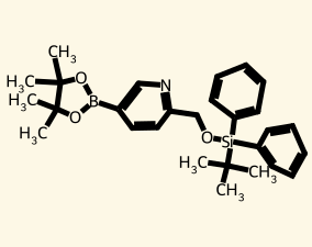 CC1(C)OB(c2ccc(CO[Si](c3ccccc3)(c3ccccc3)C(C)(C)C)nc2)OC1(C)C